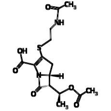 CC(=O)NCCSC1=C(C(=O)O)N2C(=O)[C@@H]([C@H](C)OC(C)=O)[C@H]2C1